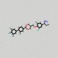 CCC(N)c1cc(F)c(OCC2COC(c3ccc(-c4cc(F)c(F)c(F)c4)c(F)c3)OC2)c(F)c1